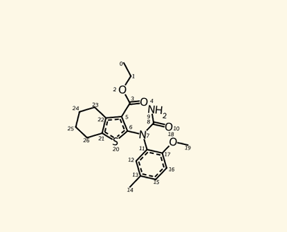 CCOC(=O)c1c(N(C(N)=O)c2cc(C)ccc2OC)sc2c1CCCC2